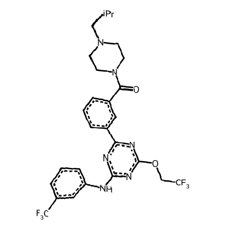 CC(C)CN1CCN(C(=O)c2cccc(-c3nc(Nc4cccc(C(F)(F)F)c4)nc(OCC(F)(F)F)n3)c2)CC1